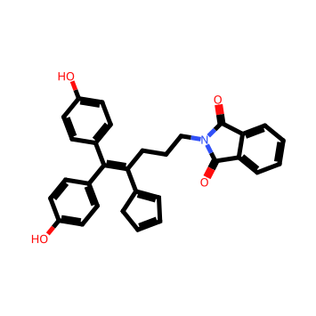 O=C1c2ccccc2C(=O)N1CCCC(C1=CC=CC1)=C(c1ccc(O)cc1)c1ccc(O)cc1